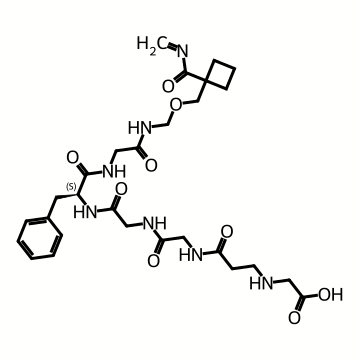 C=NC(=O)C1(COCNC(=O)CNC(=O)[C@H](Cc2ccccc2)NC(=O)CNC(=O)CNC(=O)CCNCC(=O)O)CCC1